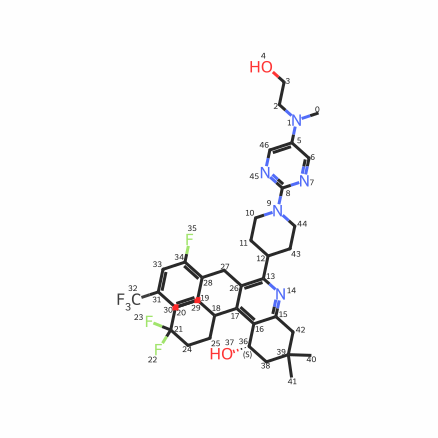 CN(CCO)c1cnc(N2CCC(c3nc4c(c(C5CCC(F)(F)CC5)c3Cc3ccc(C(F)(F)F)cc3F)[C@@H](O)CC(C)(C)C4)CC2)nc1